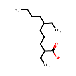 CCCCC(CC)CCCC(CC)C(=O)O